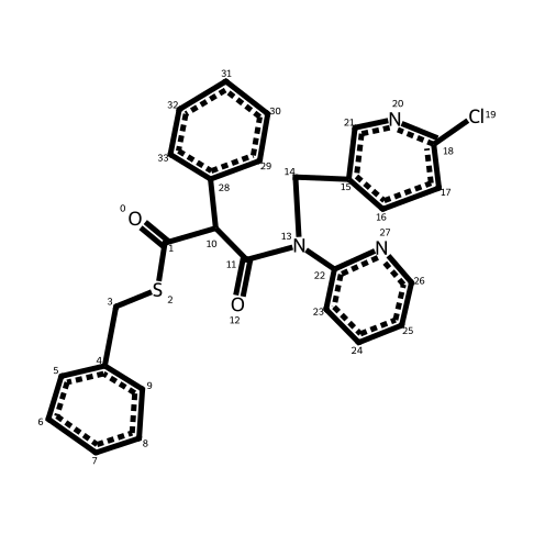 O=C(SCc1ccccc1)C(C(=O)N(Cc1ccc(Cl)nc1)c1ccccn1)c1ccccc1